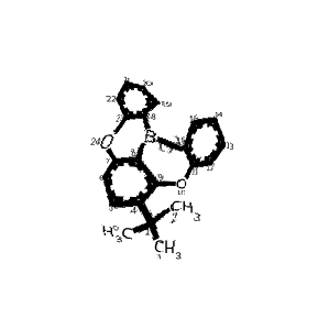 CC(C)(C)c1ccc2c3c1Oc1ccccc1B3c1ccccc1O2